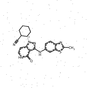 Cc1nc2ccc(Nc3nn([C@H]4CCCCC4C#N)c4cc[nH]c(=O)c34)cc2s1